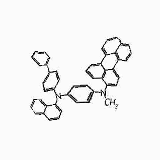 CN(c1ccc(N(c2ccc(-c3ccccc3)cc2)c2cccc3ccccc23)cc1)c1ccc2c3cccc4cccc(c5cccc1c52)c43